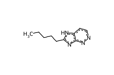 CCCCCc1nc2nnccc2[nH]1